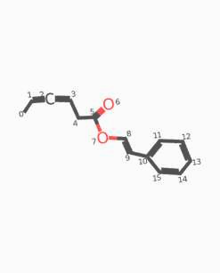 CC=C=CCC(=O)OC=Cc1ccccc1